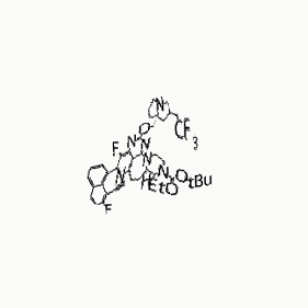 C#Cc1c(F)ccc2cccc(-c3nc4c5c(nc(OC[C@]67CCCN6C[C@@H](CC(F)(F)F)C7)nc5c3F)N3CCN(C(=O)OC(C)(C)C)[C@@H](CC)[C@H]3CC4)c12